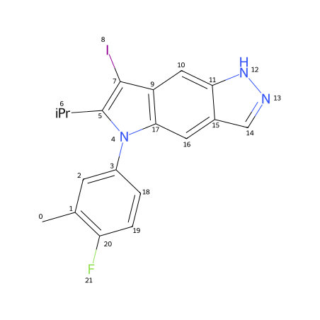 Cc1cc(-n2c(C(C)C)c(I)c3cc4[nH]ncc4cc32)ccc1F